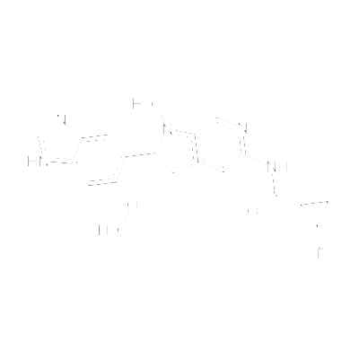 COc1cc2[nH]cnc2cc1-c1cc2cc(NC(=O)[C@@H]3C[C@@H]3F)ncc2n1C